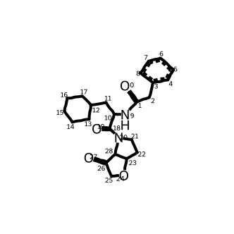 O=C(Cc1ccccc1)NC(CC1CCCCC1)C(=O)N1CCC2OCC(=O)C21